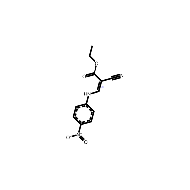 CCOC(=O)/C(C#N)=C\Nc1ccc([N+](=O)[O-])cc1